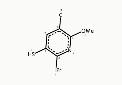 COc1nc(C(C)C)c(S)cc1Cl